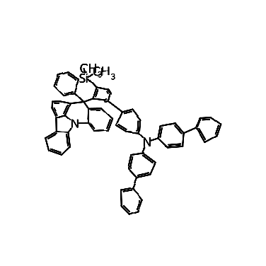 C[Si]1(C)c2ccccc2C2(c3ccccc3-n3c4ccccc4c4cccc2c43)c2cc(-c3ccc(N(c4ccc(-c5ccccc5)cc4)c4ccc(-c5ccccc5)cc4)cc3)ccc21